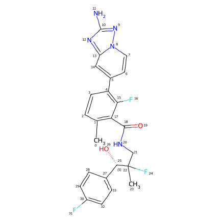 Cc1ccc(-c2ccn3nc(N)nc3c2)c(F)c1C(=O)NCC(C)(F)[C@@H](O)c1ccc(F)cc1